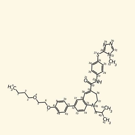 CCCCOCCOc1ccc(-c2ccc3c(c2)C=C(C(=O)Nc2ccc(Sc4nncn4C)cc2)CCN3CC(C)C)cc1